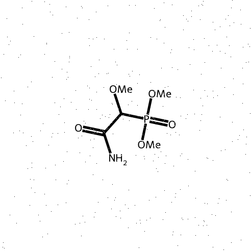 COC(C(N)=O)P(=O)(OC)OC